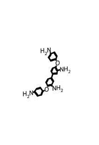 Nc1ccc(Oc2ccc(-c3ccc(Oc4ccc(N)cc4)c(N)c3)cc2N)cc1